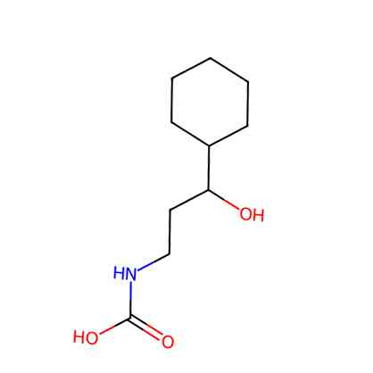 O=C(O)NCCC(O)C1CCCCC1